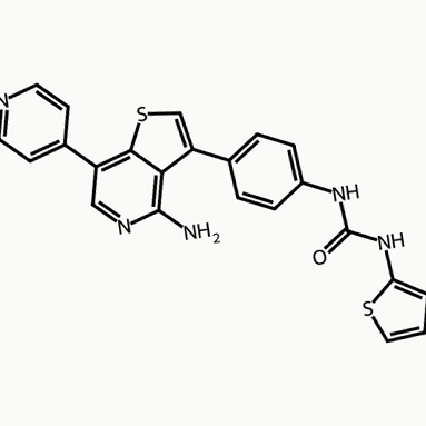 Nc1ncc(-c2ccncc2)c2scc(-c3ccc(NC(=O)Nc4cccs4)cc3)c12